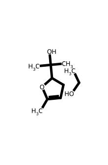 CC1=CCC(C(C)(C)O)O1.CCO